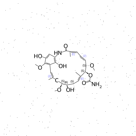 COc1c(O)cc2c(O)c1/C=C(/C)C[C@H](OC)[C@H](O)[C@@H](C)/C=C(\C)[C@H](OC(N)=O)[C@@H](OC)/C=C\C=C(/C)C(=O)N2